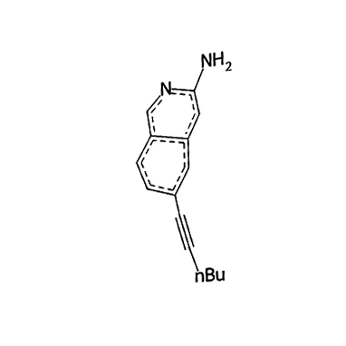 CCCCC#Cc1ccc2cnc(N)cc2c1